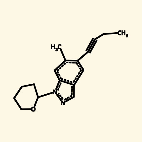 CCC#Cc1cc2cnn(C3CCCCO3)c2cc1C